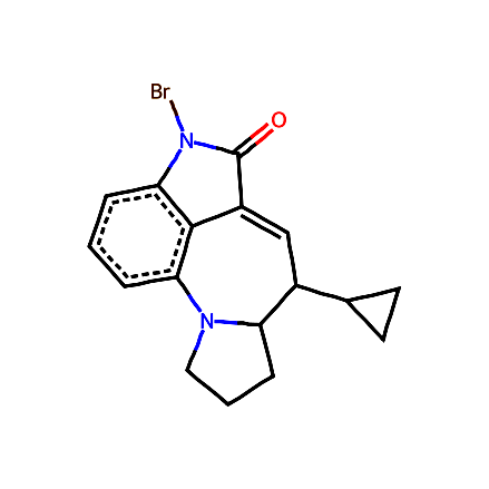 O=C1C2=CC(C3CC3)C3CCCN3c3cccc(c32)N1Br